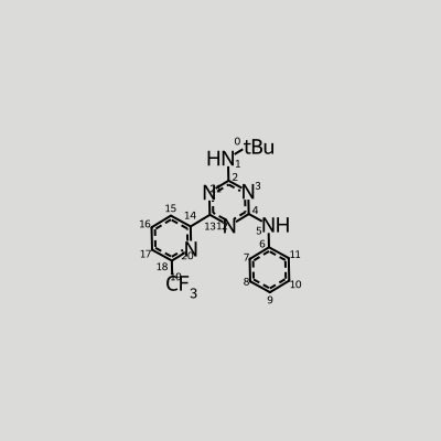 CC(C)(C)Nc1nc(Nc2ccccc2)nc(-c2cccc(C(F)(F)F)n2)n1